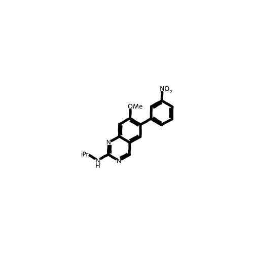 COc1cc2nc(NC(C)C)ncc2cc1-c1cccc([N+](=O)[O-])c1